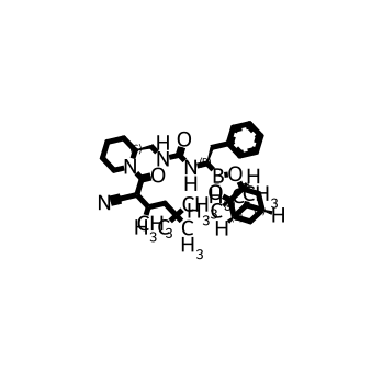 CC(CC(C)(C)C)C(C#N)C(=O)N1CCCC[C@H]1CNC(=O)N[C@@H](Cc1ccccc1)B1O[C@@H]2C[C@@H]3C[C@@H](C3(C)C)[C@]2(C)O1